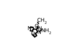 C=CCOc1nc(N)nc(-c2ccco2)c1-c1ccncc1